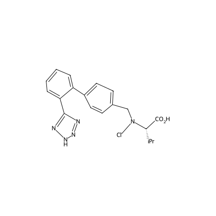 CC(C)[C@@H](C(=O)O)N(Cl)Cc1ccc(-c2ccccc2-c2nn[nH]n2)cc1